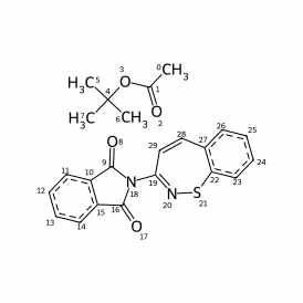 CC(=O)OC(C)(C)C.O=C1c2ccccc2C(=O)N1C1=NSc2ccccc2C=C1